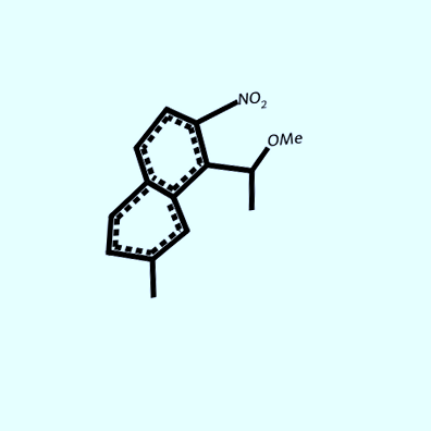 COC(C)c1c([N+](=O)[O-])ccc2ccc(C)cc12